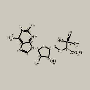 CCOC(=O)[C@H](OC[C@H]1O[C@@H](n2cnc3c(N)nc(F)nc32)[C@H](O)[C@H]1O)P(=O)(O)O